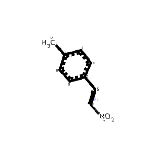 Cc1ccc(/C=C/[N+](=O)[O-])cc1